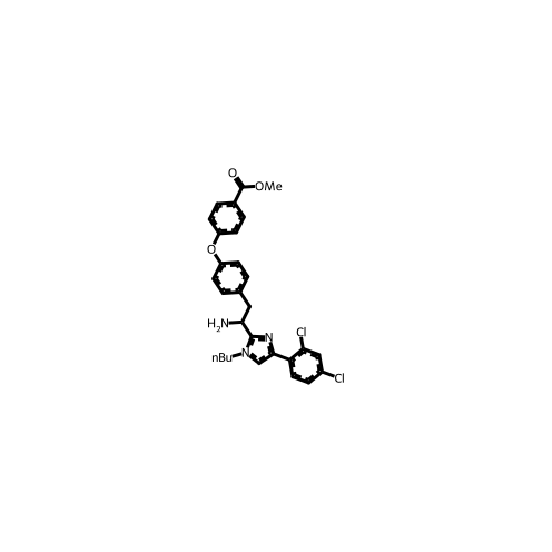 CCCCn1cc(-c2ccc(Cl)cc2Cl)nc1C(N)Cc1ccc(Oc2ccc(C(=O)OC)cc2)cc1